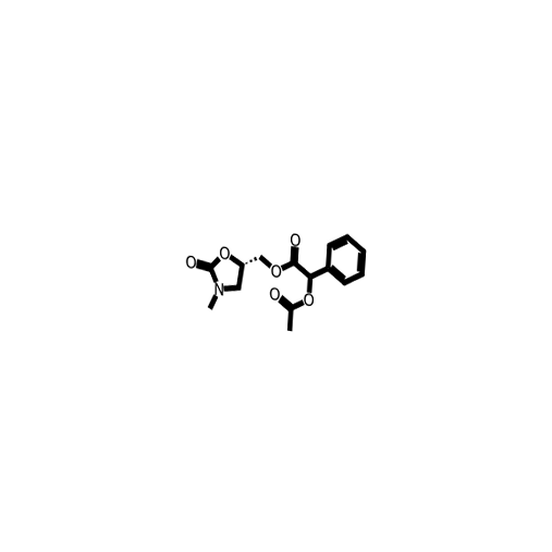 CC(=O)OC(C(=O)OC[C@@H]1CN(C)C(=O)O1)c1ccccc1